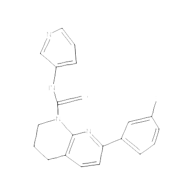 O=C(Nc1cccnc1)N1CCCc2ccc(-c3cccc(Cl)c3)nc21